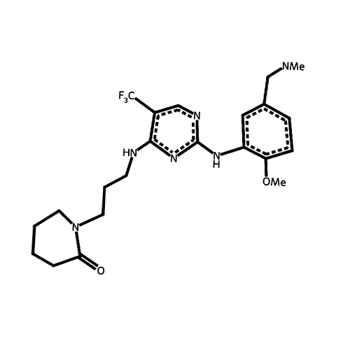 CNCc1ccc(OC)c(Nc2ncc(C(F)(F)F)c(NCCCN3CCCCC3=O)n2)c1